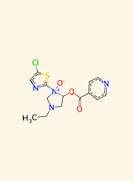 CCN1CC(OC(=O)c2ccncc2)[N+]([O-])(c2ncc(Cl)s2)C1